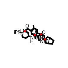 Cc1cc(C(=O)NC2CC3CCC(C2)N3c2ccc(C(=O)NC3CCN(C(C)C)CC3)cn2)c(C)cc1C(N)=O